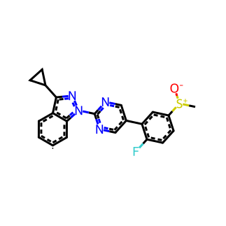 C[S+]([O-])c1ccc(F)c(-c2cnc(-n3nc(C4CC4)c4cc[c]cc43)nc2)c1